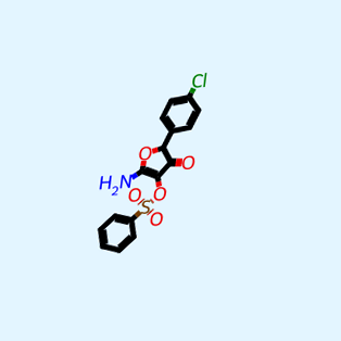 NC1=C(OS(=O)(=O)c2ccccc2)C(=O)C(c2ccc(Cl)cc2)O1